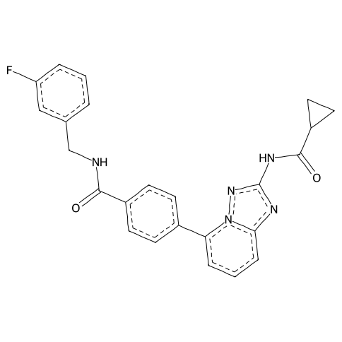 O=C(NCc1cccc(F)c1)c1ccc(-c2cccc3nc(NC(=O)C4CC4)nn23)cc1